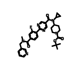 CN(Cc1cccnc1)C(=O)c1ccc(-c2ncc(C(=O)N(C3CC3)C3CCN(C(=O)OC(C)(C)C)CC3)cn2)c(F)c1